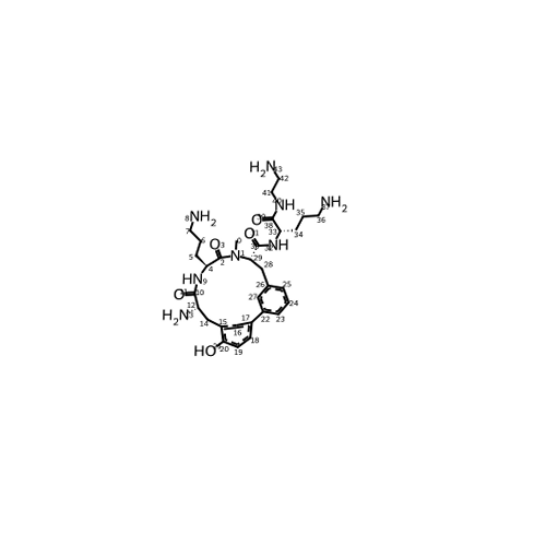 CN1C(=O)[C@H](CCCN)NC(=O)[C@@H](N)Cc2cc(ccc2O)-c2cccc(c2)C[C@H]1C(=O)N[C@@H](CCCN)C(=O)NCCN